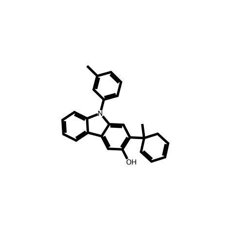 Cc1cccc(-n2c3ccccc3c3cc(O)c(C4(C)C=CC=CC4)cc32)c1